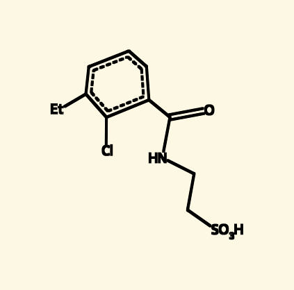 CCc1cccc(C(=O)NCCS(=O)(=O)O)c1Cl